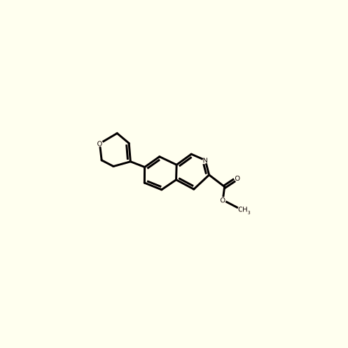 COC(=O)c1cc2ccc(C3=CCOCC3)cc2cn1